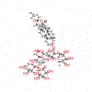 C[C@H]1CC[C@@]2(OC1)O[C@H]1C[C@H]3[C@@H]4CC[C@H]5C[C@@H](O[C@@H]6O[C@H](CO)[C@H](O[C@@H]7O[C@H](CO)[C@@H](O)[C@H](O[C@@H]8OC[C@@H](O)[C@H](O)[C@H]8O)[C@H]7O[C@@H]7OC[C@@H](O)[C@H](O)[C@H]7O)[C@H](O)[C@H]6O[C@@H]6O[C@@H](C)[C@H](O)[C@@H](O)[C@H]6O)CC[C@]5(C)[C@H]4CC[C@]3(C)[C@H]1[C@@H]2C